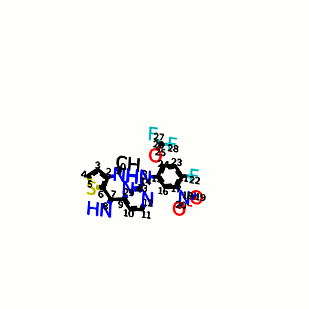 CNc1ccsc1C(=N)c1ccnc(Nc2cc([N+](=O)[O-])c(F)cc2OC(F)F)n1